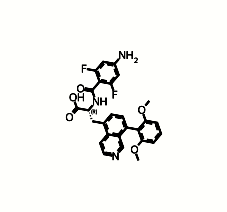 COc1cccc(OC)c1-c1ccc(C[C@@H](NC(=O)c2c(F)cc(N)cc2F)C(=O)O)c2ccncc12